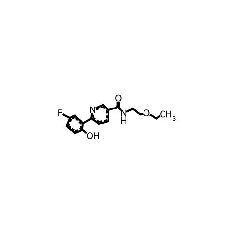 CCOCCNC(=O)c1ccc(-c2cc(F)ccc2O)nc1